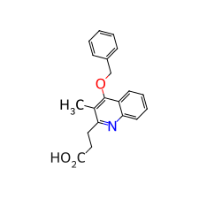 Cc1c(CCC(=O)O)nc2ccccc2c1OCc1ccccc1